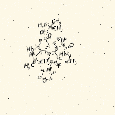 CCNC(=O)c1nnc(-c2cc3c(C(C)C)n[nH]c3cc2OC(=O)C(C)(C)C)n1-c1ccc(N2CCOCC2)c(F)c1